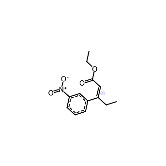 CCOC(=O)/C=C(/CC)c1cccc([N+](=O)[O-])c1